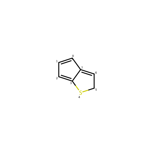 [C]1=CC=C2SCC=C12